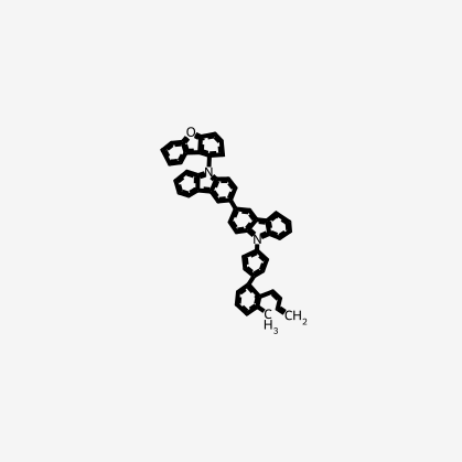 C=C/C=C\c1c(C)cccc1-c1ccc(-n2c3ccccc3c3cc(-c4ccc5c(c4)c4ccccc4n5-c4cccc5oc6ccccc6c45)ccc32)cc1